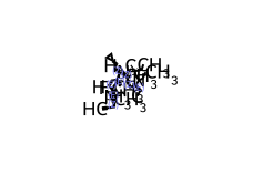 C#C\C=C(C)/N=C(C)/C(F)=C\C(=C/C)C(=C\C=C1CC1)\N=C(C)/C=C\C(=C/C)N(CCC)C[C@@H](C)CC